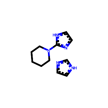 c1c[nH]c(N2CCCCC2)n1.c1c[nH]cn1